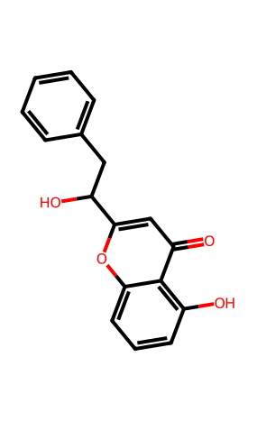 O=c1cc(C(O)Cc2ccccc2)oc2cccc(O)c12